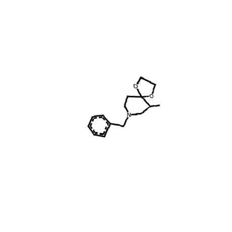 CC1CN(Cc2ccccc2)CCC12OCCO2